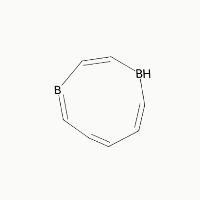 B1=CC=CC=CBC=C1